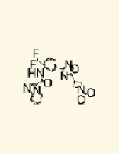 COC(=O)N1CC(c2nc(-c3ccc(C(F)F)c(NC(=O)c4cnc5ccccn45)c3)no2)C1